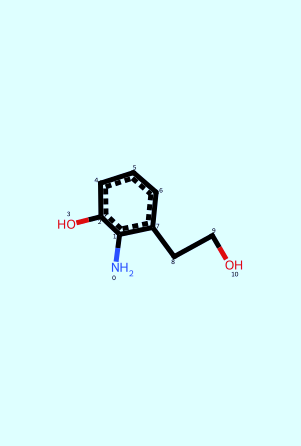 Nc1c(O)cccc1CCO